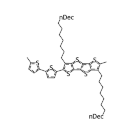 CCCCCCCCCCCCCCCCCc1c(C)sc2c1sc1c3sc(-c4ccc(-c5ccc(C)s5)s4)c(CCCCCCCCCCCCCCCCC)c3sc21